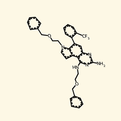 Nc1nc(NCCOCc2ccccc2)c2c(cc(-c3ccccc3C(F)(F)F)c3c2ccn3CCOCc2ccccc2)n1